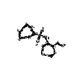 O=Cc1ccccc1NS(=O)(=O)c1ccccc1